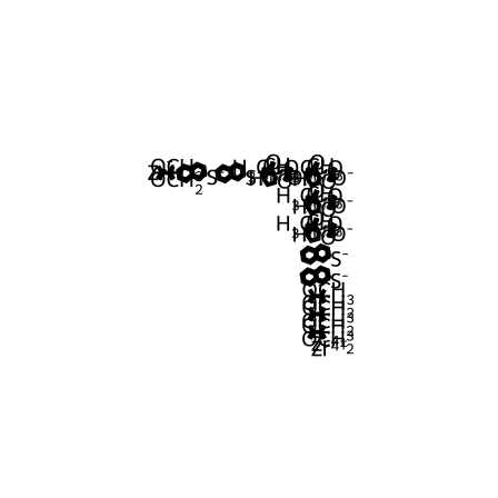 C=C(C)C(=O)[O-].C=C(C)C(=O)[O-].C=C(C)C(=O)[O-].C=C(C)C(=O)[O-].CC1(C)[C@@H]2CC[C@@]1(CS(=O)(=O)[O-])C(=O)C2.CC1(C)[C@@H]2CC[C@@]1(CS(=O)(=O)[O-])C(=O)C2.CC1(C)[C@@H]2CC[C@@]1(CS(=O)(=O)[O-])C(=O)C2.CC1(C)[C@@H]2CC[C@@]1(CS(=O)(=O)[O-])C(=O)C2.[S-]c1ccc2ccccc2c1.[S-]c1ccc2ccccc2c1.[S-]c1ccc2ccccc2c1.[S-]c1ccc2ccccc2c1.[Zr+4].[Zr+4].[Zr+4]